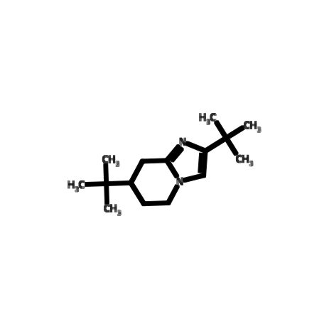 CC(C)(C)c1cn2c(n1)CC(C(C)(C)C)CC2